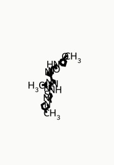 COc1cccc(NC(=O)Cn2cc(-c3cnc4c(Nc5cc(CN6CCCC(C)C6)ns5)nc(C)cn34)cn2)c1